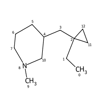 CCC1(CC2CCCN(C)C2)CC1